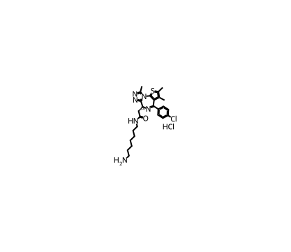 Cc1sc2c(c1C)C(c1ccc(Cl)cc1)=N[C@@H](CC(=O)NCCCCCCCN)c1nnc(C)n1-2.Cl